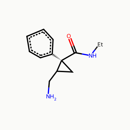 CCNC(=O)[C@@]1(c2ccccc2)CC1CN